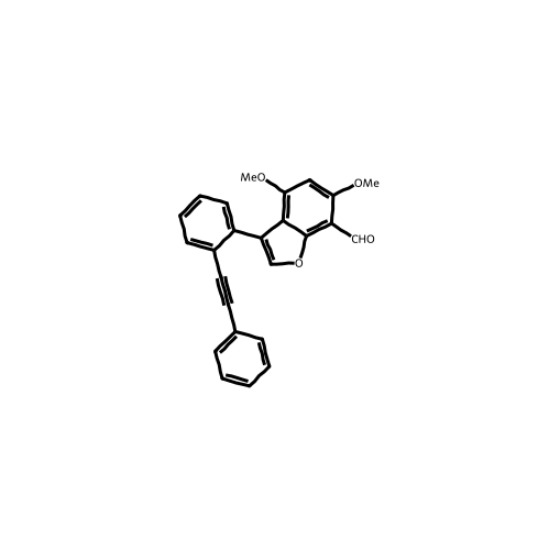 COc1cc(OC)c2c(-c3ccccc3C#Cc3ccccc3)coc2c1C=O